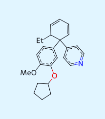 CCC1C=CC=CC1(c1ccncc1)c1ccc(OC)c(OC2CCCC2)c1